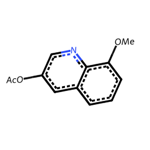 COc1cccc2cc(OC(C)=O)cnc12